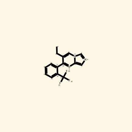 CCc1cn2cncc2nc1-c1ccccc1C(F)(F)F